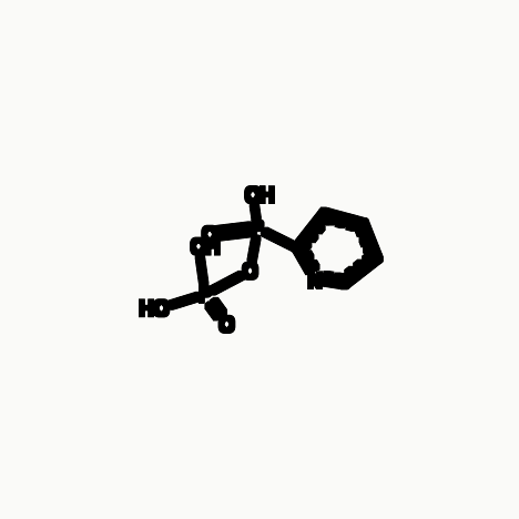 O=P(O)(O)OP(=O)(O)c1ccccn1